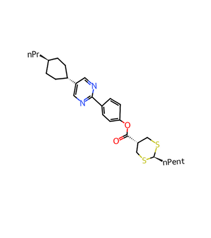 CCCCC[C@H]1SC[C@H](C(=O)Oc2ccc(-c3ncc([C@H]4CC[C@H](CCC)CC4)cn3)cc2)CS1